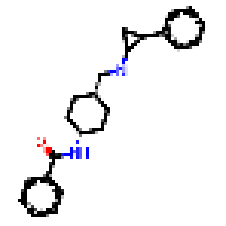 O=C(N[C@H]1CC[C@H](CNC2CC2c2ccccc2)CC1)c1ccccc1